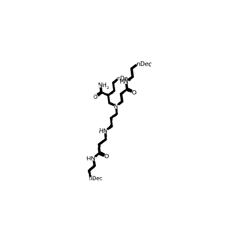 CCCCCCCCCCCCNC(=O)CCNCCCN(CCC(=O)NCCCCCCCCCCCC)CC(CCCCCCCCCCCC)C(N)=O